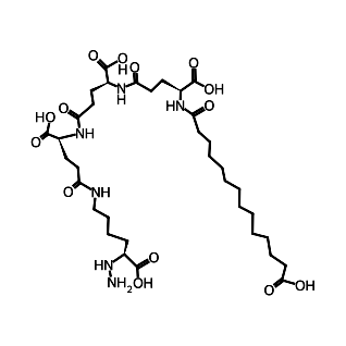 NN[C@@H](CCCCNC(=O)CC[C@H](NC(=O)CC[C@H](NC(=O)CC[C@H](NC(=O)CCCCCCCCCCCCC(=O)O)C(=O)O)C(=O)O)C(=O)O)C(=O)O